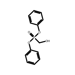 O=P(CO)(Oc1ccccc1)Oc1ccccc1